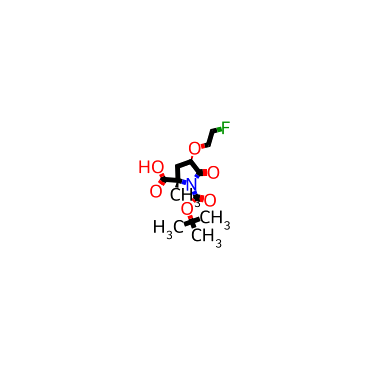 CC(C)(C)OC(=O)N1C(=O)[C@@H](OCCF)C[C@@]1(C)C(=O)O